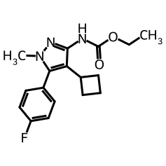 CCOC(=O)Nc1nn(C)c(-c2ccc(F)cc2)c1C1CCC1